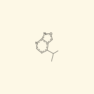 CC(C)c1ccnc2nocc12